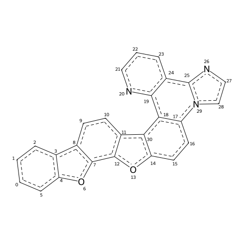 c1ccc2c(c1)oc1c2ccc2c1oc1ccc3c(c4ncccc4c4nccn34)c12